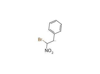 O=[N+]([O-])C(Br)[CH]c1ccccc1